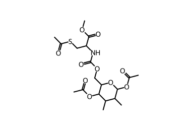 COC(=O)C(CSC(C)=O)NC(=O)OCC1OC(OC(C)=O)C(C)C(C)C1OC(C)=O